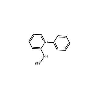 CCCNc1cccc[n+]1-c1ccccc1